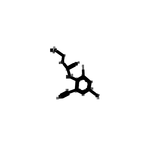 CCOC(=O)Nc1c(I)cc(Br)cc1C#N